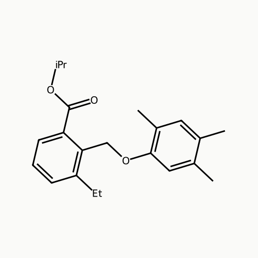 CCc1cccc(C(=O)OC(C)C)c1COc1cc(C)c(C)cc1C